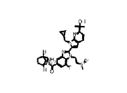 C[S+]([O-])CCn1c(-c2cc3ccc(C(C)(C)O)nc3n2CC2CC2)nc2cc(C(=O)N3C[C@H]4CC[C@@H]3[C@@H]4N)cc(F)c21